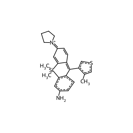 Cc1cscc1C1=C2C=CC(=[N+]3CCCC3)C=C2[Si](C)(C)c2cc(N)ccc21